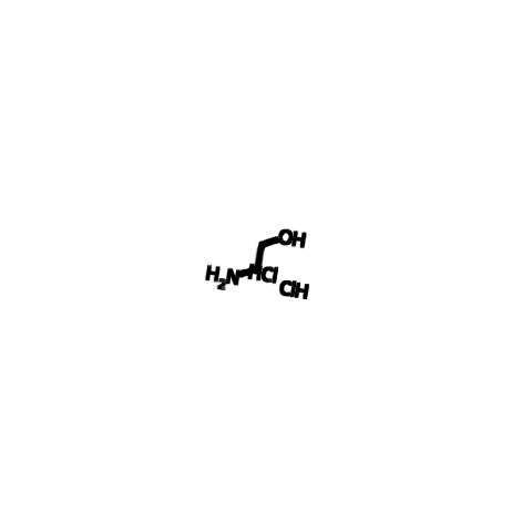 Cl.Cl.NCCO